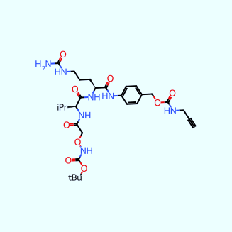 C#CCNC(=O)OCc1ccc(NC(=O)[C@H](CCCNC(N)=O)NC(=O)[C@@H](NC(=O)CONC(=O)OC(C)(C)C)C(C)C)cc1